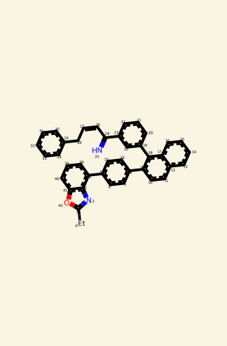 CCc1nc2c(-c3ccc(-c4ccc5ccccc5c4-c4cccc(C(=N)/C=C\Cc5ccccc5)c4)cc3)cccc2o1